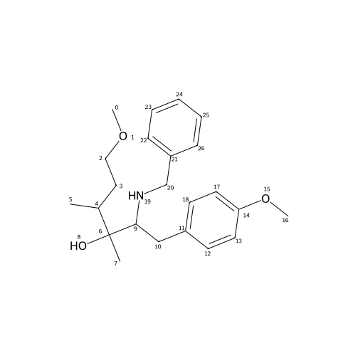 COCCC(C)C(C)(O)C(Cc1ccc(OC)cc1)NCc1ccccc1